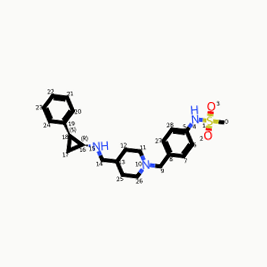 CS(=O)(=O)Nc1ccc(CN2CCC(CN[C@@H]3C[C@H]3c3ccccc3)CC2)cc1